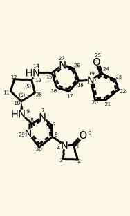 O=C1CCN1c1cnc(N[C@H]2CC[C@H](Nc3ccc(-n4ccccc4=O)cn3)C2)nc1